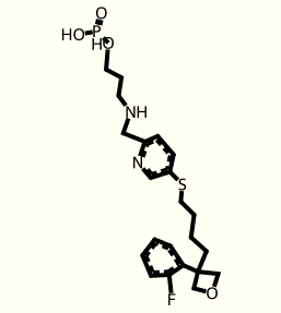 O=[PH](O)OCCCNCc1ccc(SCCCCC2(c3ccccc3F)COC2)cn1